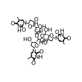 Cc1cn([C@H]2C[C@H](O)[C@@H](C(O)OP(=O)(OC(O)[C@H]3O[C@@H](n4cc(C)c(=O)[nH]c4=O)C[C@@H]3O)SC(O)[C@H]3O[C@@H](n4cc(C)c(=O)[nH]c4=O)C[C@@H]3O)O2)c(=O)[nH]c1=O